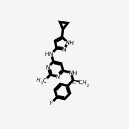 Cc1nc(Nc2cc(C3CC3)[nH]n2)cc(N[C@@H](C)c2ccc(F)cc2)n1